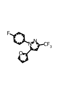 Fc1ccc(-n2nc(C(F)(F)F)cc2-c2ccco2)cc1